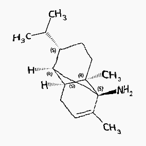 CC1=CC[C@H]2[C@H]3[C@H](C(C)C)CC[C@@]2(C)[C@]13N